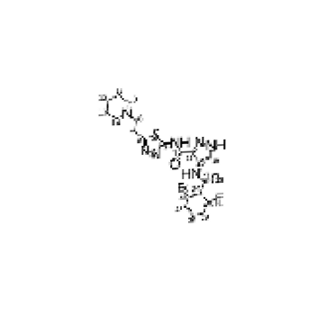 O=C(Nc1nnc(CCN2CCCCC2)s1)c1n[nH]cc1NC(=O)c1c(F)cccc1F